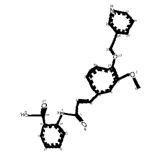 COc1cc(C=CC(=O)Nc2ccccc2C(=O)O)ccc1OCc1cccnc1